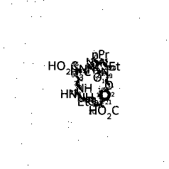 CCCc1nn(C)c2c(=O)n(CCOc3ccc(CC(OCC)C(=O)O)cc3)c(CC)nc12.N=C(N)NCCC[C@H](N)C(=O)O